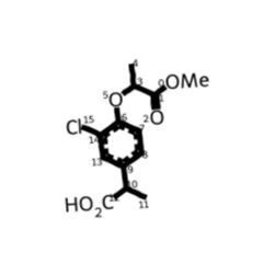 COC(=O)C(C)Oc1ccc(C(C)C(=O)O)cc1Cl